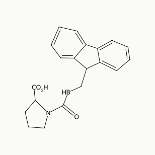 O=C(O)C1CCCN1C(=O)BCC1c2ccccc2-c2ccccc21